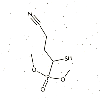 COP(=O)(OC)C(S)CCC#N